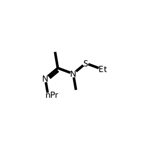 CCC/N=C(/C)N(C)SCC